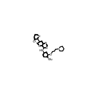 CC(C)(C)c1ccc(Nc2ncnc3cc(-c4ncccc4C(F)(F)F)cnc23)cc1OCCCN1CCCCC1